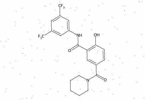 O=C(Nc1cc(C(F)(F)F)cc(C(F)(F)F)c1)c1cc(C(=O)N2CCCCC2)ccc1O